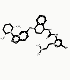 C[C@@H]1CCC[C@H](C)N1c1nnc2ccc(O[C@@H]3CC[C@H](NC(=O)Nc4cc(C(C)(C)C)nn4CCN(C)C)c4ccccc43)cn12